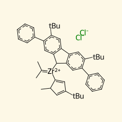 C[C](C)=[Zr+2]([C]1=CC(C(C)(C)C)=CC1C)[CH]1c2cc(-c3ccccc3)c(C(C)(C)C)cc2-c2cc(C(C)(C)C)c(-c3ccccc3)cc21.[Cl-].[Cl-]